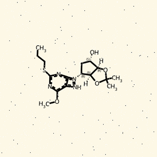 CCCSc1nc(OC)c2[nH]n([C@@H]3C[C@H](O)[C@H]4OC(C)(C)O[C@H]43)c2n1